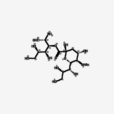 CC(=O)N[C@H]1[C@H]([C@H](O)[C@H](O)CO)O[C@](O)(C(=O)O[C@@H]([C@@H](O)[C@H](O)CO)[C@@H](N)C=O)C[C@@H]1O